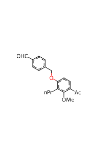 CCCc1c(OCc2ccc(C=O)cc2)ccc(C(C)=O)c1OC